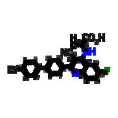 CCc1ccc(-c2ccc(-c3nc4ccc(F)cc4c(NC(C)C(=O)O)c3C#N)cc2)cc1